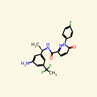 C[C@@H](NC(=O)c1ccc(=O)n(-c2ccc(F)cc2)n1)c1cc(N)cc(C(C)(F)F)c1